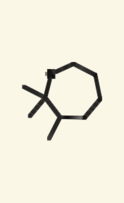 CC1CCCC[N]C1(C)C